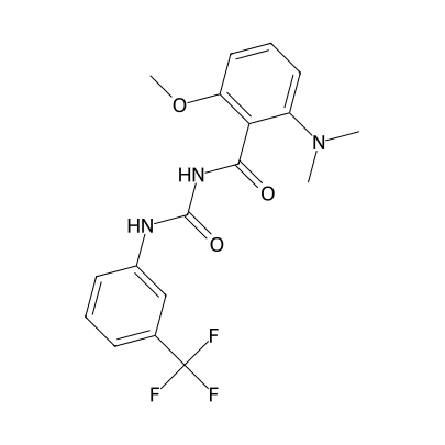 COc1cccc(N(C)C)c1C(=O)NC(=O)Nc1cccc(C(F)(F)F)c1